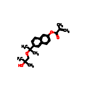 C=C(C)C(=O)Oc1ccc2cc(C(C)(C)OCC(C)(O)C(F)(F)F)ccc2c1